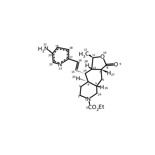 CCOC(=O)N1CC[C@@H]2[C@H](C[C@H]3C(=O)O[C@H](C)[C@H]3[C@H]2/C=C/c2ccc(N)cn2)C1